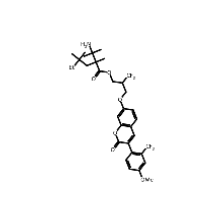 CCC(C)(C)CC(C)(C(=O)OCC(COc1ccc2cc(-c3ccc(OC)cc3C(F)(F)F)c(=O)oc2c1)C(F)(F)F)C(C)(C)N